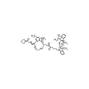 Cc1cc(C)c2c(c1)CC(=NOCC(=O)N1CCCCC1)/C=C/CC/C=C/CC(CCNC(=O)CCCCN1/C(=C/C=C/C3=[N+](C)c4ccccc4C3(C)C)C(C)(C)c3ccccc31)OC2=O